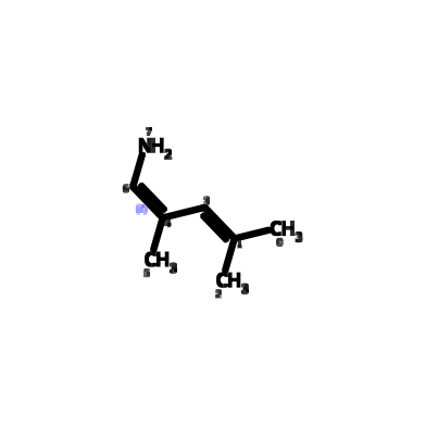 CC(C)=C/C(C)=C\N